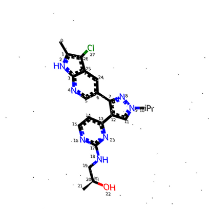 Cc1[nH]c2ncc(-c3nn(C(C)C)cc3-c3ccnc(NC[C@H](C)O)n3)cc2c1Cl